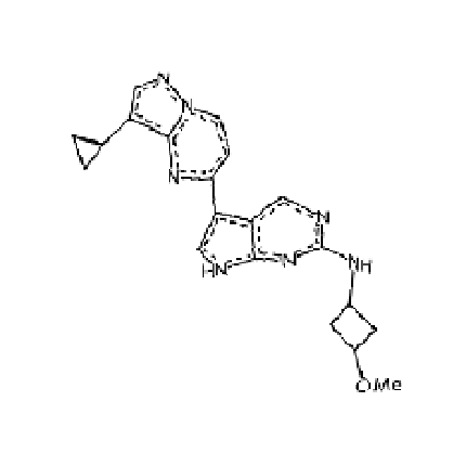 COC1CC(Nc2ncc3c(-c4ccn5ncc(C6CC6)c5n4)c[nH]c3n2)C1